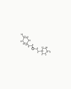 CC1CCC(CCOCCC2CCC(C)CC2)CC1